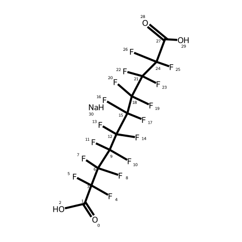 O=C(O)C(F)(F)C(F)(F)C(F)(F)C(F)(F)C(F)(F)C(F)(F)C(F)(F)C(F)(F)C(=O)O.[NaH]